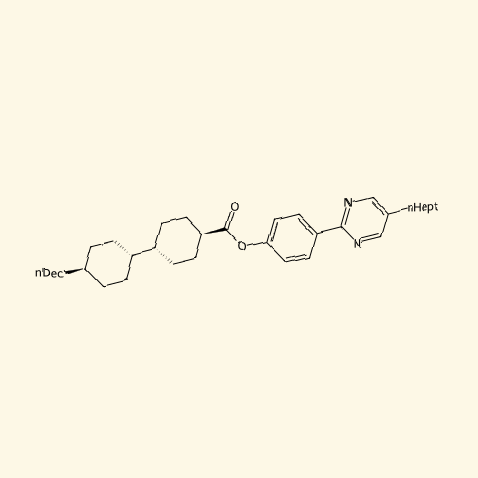 CCCCCCCCCC[C@H]1CC[C@H]([C@H]2CC[C@H](C(=O)Oc3ccc(-c4ncc(CCCCCCC)cn4)cc3)CC2)CC1